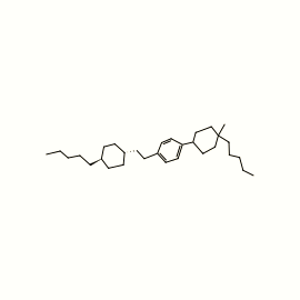 CCCCCC1(C)CCC(c2ccc(CC[C@H]3CC[C@H](CCCCC)CC3)cc2)CC1